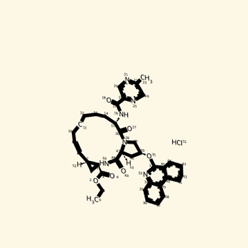 CCOC(=O)[C@@]12C[C@H]1/C=C\CCCCC[C@H](NC(=O)c1cnc(C)cn1)C(=O)N1C[C@H](Oc3nc4ccccc4c4ccccc34)C[C@H]1C(=O)N2.Cl